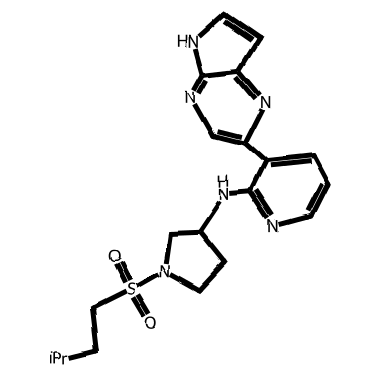 CC(C)CCS(=O)(=O)N1CCC(Nc2ncccc2-c2cnc3[nH]ccc3n2)C1